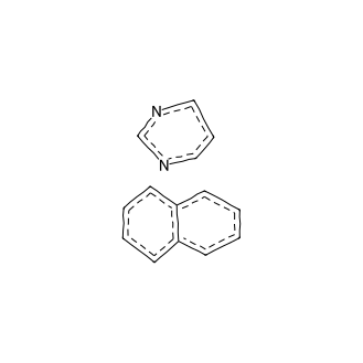 c1ccc2ccccc2c1.c1cncnc1